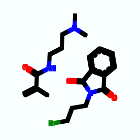 C=C(C)C(=O)NCCCN(C)C.O=C1c2ccccc2C(=O)N1CCCBr